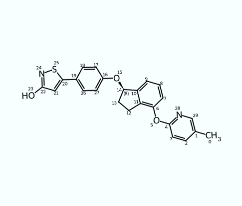 Cc1ccc(Oc2cccc3c2CC[C@H]3Oc2ccc(-c3cc(O)ns3)cc2)nc1